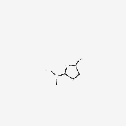 CC(C)N(C)C1CCC(N)O1